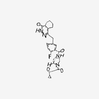 O=C(C(=O)N1C[C@@H]2C[C@H]1CN2C(=O)c1cc(Cc2n[nH]c(=O)c3c2CCCC3)ccc1F)C1CC1